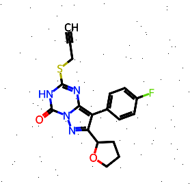 C#CCSc1nc2c(-c3ccc(F)cc3)c(C3CCCO3)nn2c(=O)[nH]1